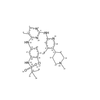 Cc1cnc(Nc2cc(F)c(C3CCN(C)CC3)cn2)nc1Nc1ccc(Cl)c(NS(=O)(=O)C(C)(C)C)c1